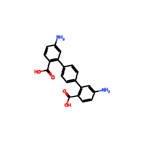 Nc1ccc(C(=O)O)c(-c2ccc(-c3cc(N)ccc3C(=O)O)cc2)c1